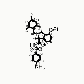 CCOc1cccc2c1CN(Cc1c(C)cc(C)cc1C)C2(C)C(=O)NS(=O)(=O)c1ccc(N)cc1